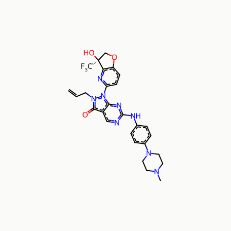 C=CCn1c(=O)c2cnc(Nc3ccc(N4CCN(C)CC4)cc3)nc2n1-c1ccc2c(n1)[C@](O)(C(F)(F)F)CO2